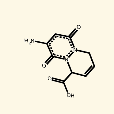 Nc1cc(=O)n2n(c1=O)C(C(=O)O)C=CC2